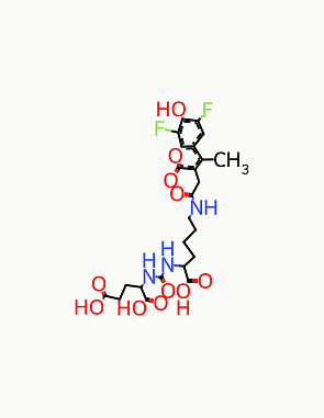 Cc1c(CC(=O)NCCCCC(NC(=O)NC(CCC(=O)O)C(=O)O)C(=O)O)c(=O)oc2c(F)c(O)c(F)cc12